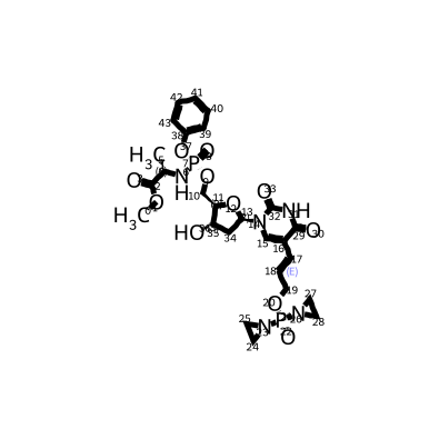 COC(=O)[C@H](C)NP(=O)(OC[C@H]1O[C@@H](n2cc(/C=C/COP(=O)(N3CC3)N3CC3)c(=O)[nH]c2=O)C[C@@H]1O)Oc1ccccc1